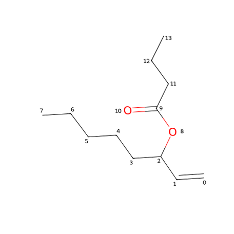 C=CC(CCCCC)OC(=O)CCC